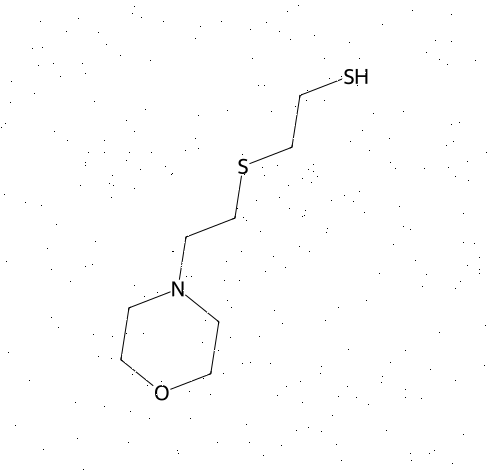 SCCSCCN1CCOCC1